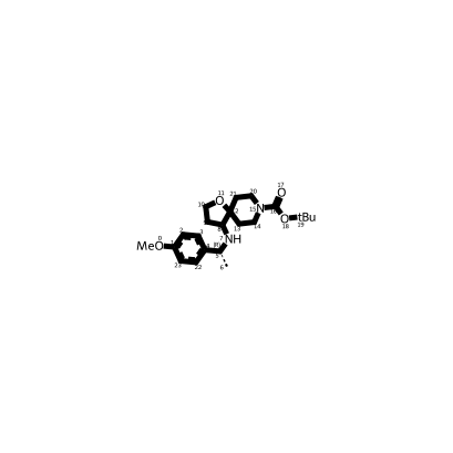 COc1ccc([C@@H](C)NC2CCOC23CCN(C(=O)OC(C)(C)C)CC3)cc1